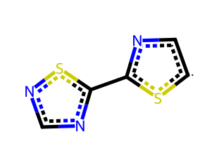 [c]1cnc(-c2ncns2)s1